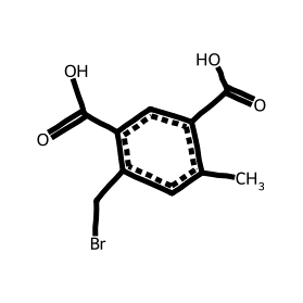 Cc1cc(CBr)c(C(=O)O)cc1C(=O)O